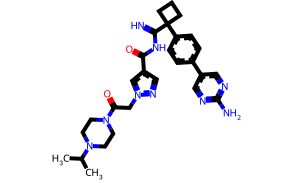 CC(C)N1CCN(C(=O)Cn2cc(C(=O)NC(=N)C3(c4ccc(-c5cnc(N)nc5)cc4)CCC3)cn2)CC1